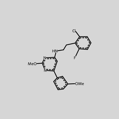 COc1cccc(-c2cc(NCCc3c(F)cccc3Cl)nc(OC)n2)c1